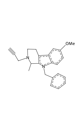 C#CCN1CCc2c(n(Cc3ccccc3)c3ccc(OC)cc23)C1C